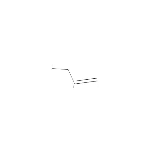 C=[C]CC